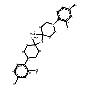 COC1(OC2(OC)CCN(c3ccc(C)cc3Cl)CC2)CCN(c2ccc(C)cc2Cl)CC1